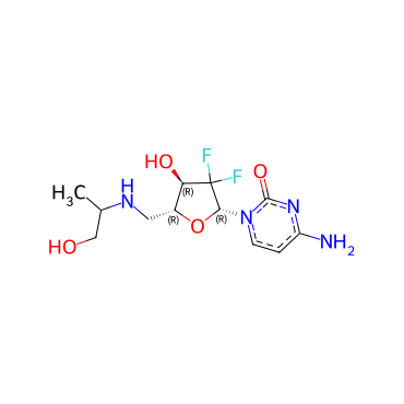 CC(CO)NC[C@H]1O[C@@H](n2ccc(N)nc2=O)C(F)(F)[C@@H]1O